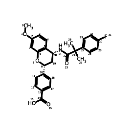 COc1ccc2c(c1)O[C@@H](c1ccc(C(=O)O)cc1)C[C@H]2NC(=O)C(C)(C)c1ccc(F)cc1